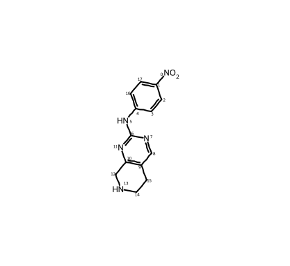 O=[N+]([O-])c1ccc(Nc2ncc3c(n2)CNCC3)cc1